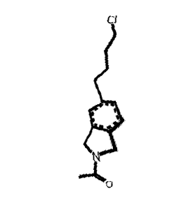 CC(=O)N1Cc2ccc(CCCCCl)cc2C1